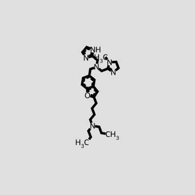 CCCN(CCC)CCCCc1cc2cc(CN(CC3=NCCN3C)Cc3ncc[nH]3)ccc2o1